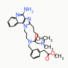 CCCCc1nc2c(N)nc3ccccc3c2n1CCCN(Cc1cccc(CC(=O)OC)c1)C(=O)CN(C)C